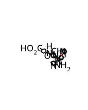 Cc1nc(-n2c(-c3cccnc3N)nc3ccc(-c4ccccn4)cc32)ccc1NC(=O)C1CCC(C(=O)O)CC1